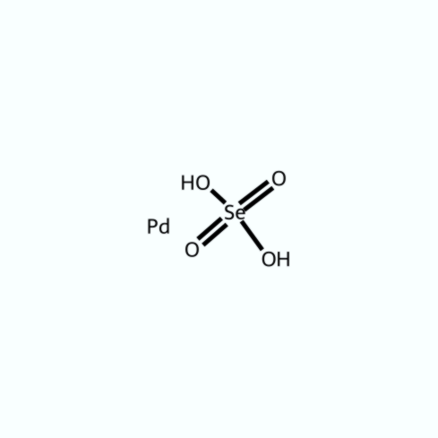 O=[Se](=O)(O)O.[Pd]